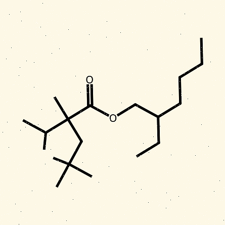 CCCCC(CC)COC(=O)C(C)(CC(C)(C)C)C(C)C